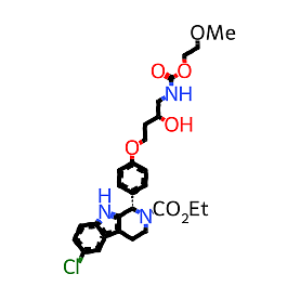 CCOC(=O)N1CCc2c([nH]c3ccc(Cl)cc23)[C@@H]1c1ccc(OCCC(O)CNC(=O)OCCOC)cc1